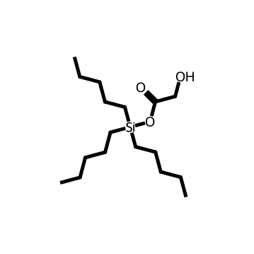 CCCCC[Si](CCCCC)(CCCCC)OC(=O)CO